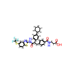 O=C(O)CCNC(=O)c1ccc(CC(C(=O)Nc2nc3cc(SC(F)(F)F)ccc3s2)c2ccc(C3CCCCC3)cc2)cc1